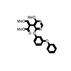 CO/C=C(\C(=O)OC)c1c(OC)ncnc1Oc1cccc(Oc2ccccc2)c1